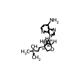 C=P(C)(C)CC[C@@]12CO[C@@H]([C@H](n3cnc4c(N)ccnc43)O1)[C@@H]2O